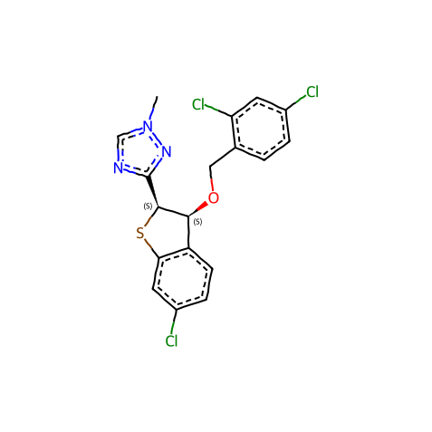 Cn1cnc([C@@H]2Sc3cc(Cl)ccc3[C@@H]2OCc2ccc(Cl)cc2Cl)n1